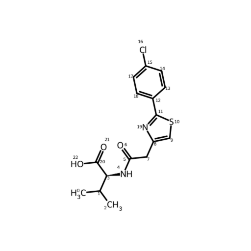 CC(C)[C@H](NC(=O)Cc1csc(-c2ccc(Cl)cc2)n1)C(=O)O